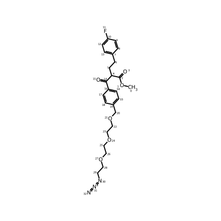 COC(=O)C(CCc1ccc(F)cc1)C(=O)c1ccc(COCCOCCOCCN=[N+]=[N-])cc1